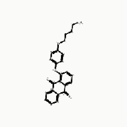 CCCCCOc1ccc(Oc2cccc3c2C(=O)c2ccccc2C3=O)cc1